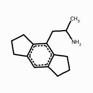 CC(N)Cc1c2c(cc3c1CCC3)CCC2